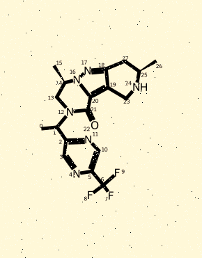 CC(c1cnc(C(F)(F)F)cn1)N1C[C@@H](C)n2nc3c(c2C1=O)CN[C@H](C)C3